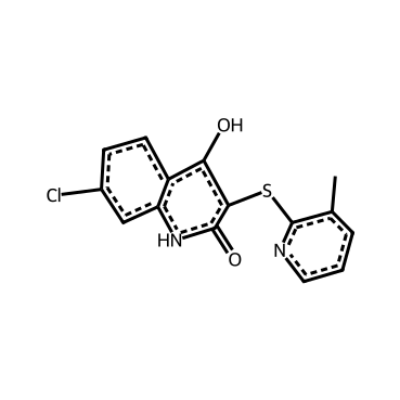 Cc1cccnc1Sc1c(O)c2ccc(Cl)cc2[nH]c1=O